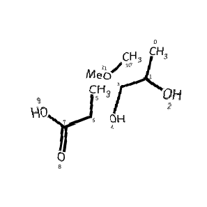 CC(O)CO.CCC(=O)O.COC